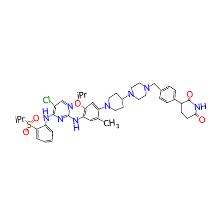 Cc1cc(Nc2ncc(Cl)c(Nc3ccccc3S(=O)(=O)C(C)C)n2)c(OC(C)C)cc1N1CCC(N2CCN(Cc3ccc(C4CCC(=O)NC4=O)cc3)CC2)CC1